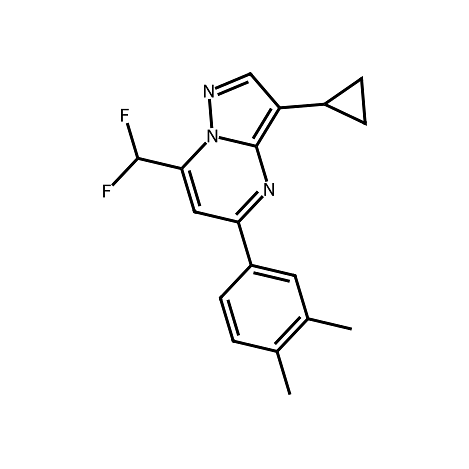 Cc1ccc(-c2cc(C(F)F)n3ncc(C4CC4)c3n2)cc1C